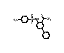 Cc1ccc(S(=O)(=O)Nc2ccc(-c3ccccc3)cc2C(=O)C(F)(F)F)cc1